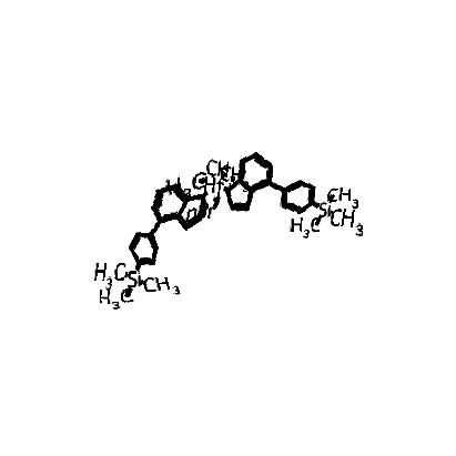 CCC[CH]=[Hf]([CH3])([CH3])([CH3])([CH]1C=Cc2c(-c3ccc([Si](C)(C)C)cc3)cccc21)[CH]1C=Cc2c(-c3ccc([Si](C)(C)C)cc3)cccc21